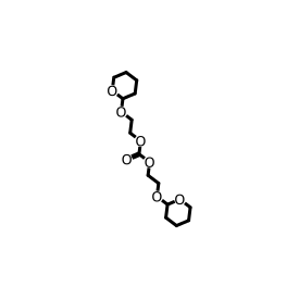 O=C(OCCOC1CCCCO1)OCCOC1CCCCO1